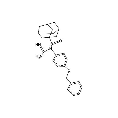 N=C(N)N(C(=O)C12CC3CC(CC(C3)C1)C2)c1ccc(OCc2ccccc2)cc1